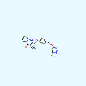 Cc1c(COc2ccc(CCOc3cc(C(F)(F)F)ncn3)cc2)[nH]c2ccccc2c1=O